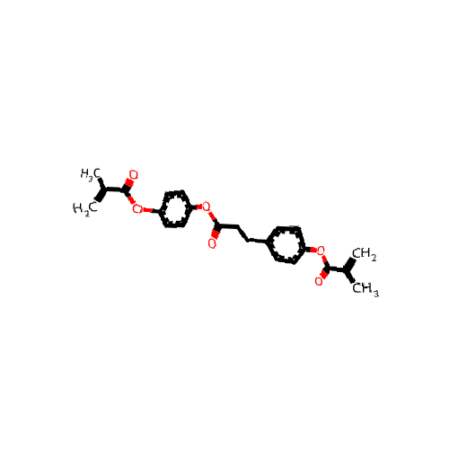 C=C(C)C(=O)Oc1ccc(CCC(=O)Oc2ccc(OC(=O)C(=C)C)cc2)cc1